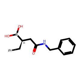 CC(C)C[C@H](CC(=O)NCc1ccccc1)B(O)O